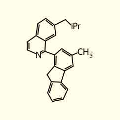 Cc1cc2c(c(-c3nccc4ccc(CC(C)C)cc34)c1)Cc1ccccc1-2